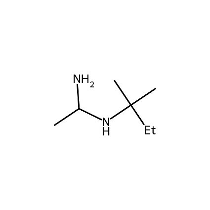 CCC(C)(C)NC(C)N